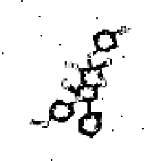 COc1ccc(-n2c(-c3ccccc3)cc3oc(=O)c(Sc4ccc(Br)cc4)c(O)c3c2=O)cc1